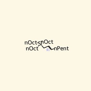 CCCCC/C=C/C[Si](CCCCCCCC)(CCCCCCCC)CCCCCCCC